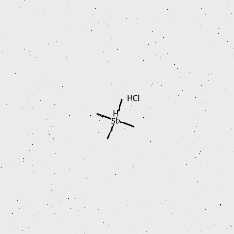 Cl.[CH3][SbH]([CH3])([CH3])[CH3]